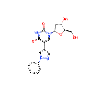 O=c1[nH]c(=O)n([C@H]2C[C@H](O)[C@@H](CO)O2)cc1-c1cnn(-c2ccccc2)c1